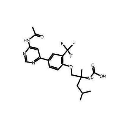 CC(=O)Nc1cc(-c2ccc(OCC(C)(CC(C)C)NC(=O)O)c(C(F)(F)F)c2)ncn1